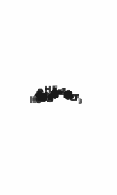 CS(=O)(=O)c1cc(NC(=O)c2ccc(CCSc3ccc(C(F)(F)F)cc3)c(F)c2)ccc1O